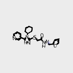 O=C(CSc1nnc(-c2cccnc2)n1C1CCCCC1)N/N=C/c1ccco1